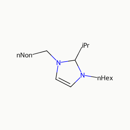 CCCCCCCCCCN1C=CN(CCCCCC)C1C(C)C